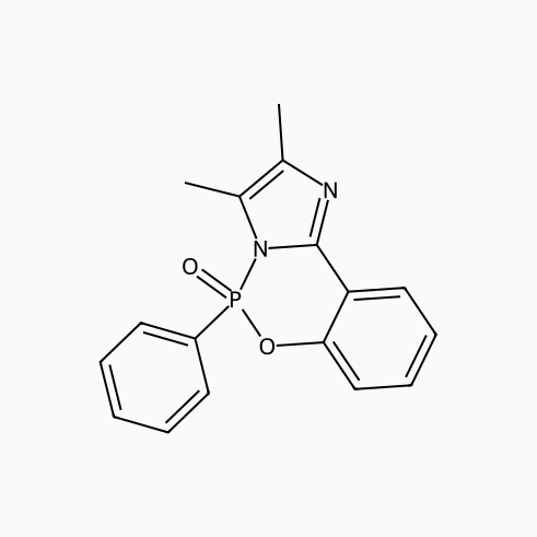 Cc1nc2n(c1C)P(=O)(c1ccccc1)Oc1ccccc1-2